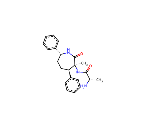 C[C@H](N)C(=O)N[C@]1(C)C(=O)N[C@@H](c2ccccc2)CC[C@@H]1c1ccccc1